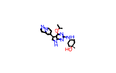 CC(C)Oc1nc(N[C@H]2CC[C@@](C)(O)CC2)nc2[nH]cc(-c3ccn4nccc4c3)c12